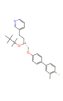 Cc1cc(-c2ccc(OC[C@@H](CCc3cccnc3)O[Si](C)(C)C(C)(C)C)cc2)ccc1F